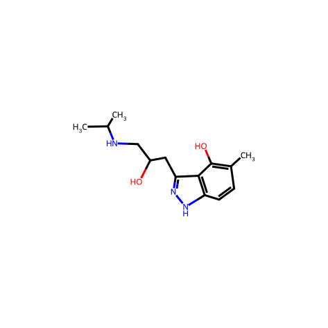 Cc1ccc2[nH]nc(CC(O)CNC(C)C)c2c1O